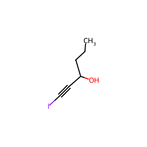 CCCC(O)C#CI